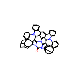 O=c1n2c3c(c4c2n2c5c(c6c(n15)C1CC5CC7CC6CC75C1)B1c5c(cc6c(c5-2)B4N(c2ccccc2)c2ccccc2-6)-c2ccccc2N1c1ccccc1)C1CC2CC(C1)CC3C2